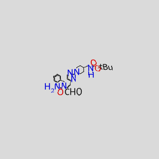 CC(C)(C)OC(=O)NCC1CCN(c2nccc(/C=C(/C=O)N(Cc3ccccc3)C(N)=O)n2)CC1